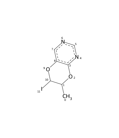 CC1Oc2ncncc2OC1I